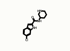 O=C(NC1CCCNC1)c1cc2ccc(Cl)cc2[nH]1